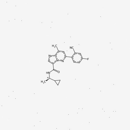 Cc1cc(-c2ccc(F)cc2C#N)nn2c(C(=O)N[C@H](C)C3CC3)cnc12